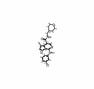 Cc1c[nH]c2c(N(C)c3cccc(Cl)c3)ncc(C(=O)NCC3CCOCC3)c12